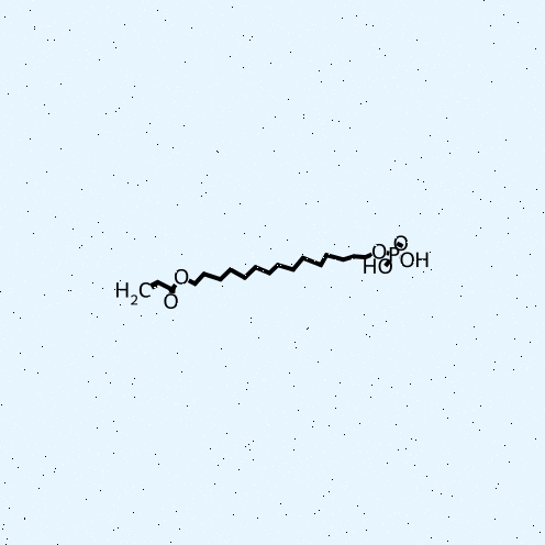 C=CC(=O)OCCCCCCCCCCCCCCCOP(=O)(O)O